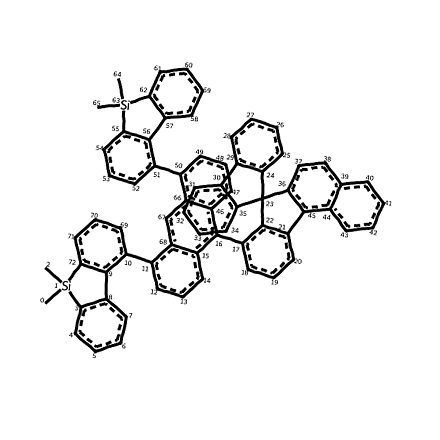 C[Si]1(C)c2ccccc2-c2c(-c3cccc4c(-c5cccc6c5C5(c7ccccc7-c7ccccc75)c5ccc7ccccc7c5-6)c5cccc(-c6cccc7c6-c6ccccc6[Si]7(C)C)c5cc34)cccc21